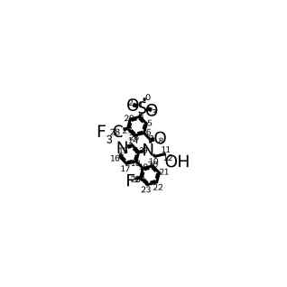 CS(=O)(=O)c1cc(C(=O)N(CCO)c2cnccc2-c2ccccc2F)cc(C(F)(F)F)c1